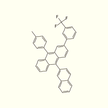 Cc1ccc(-c2c3ccccc3c(-c3ccc4ccccc4c3)c3ccc(-c4cccc(C(F)(F)F)c4)cc23)cc1